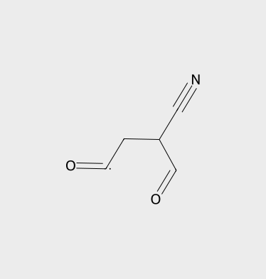 N#CC(C=O)C[C]=O